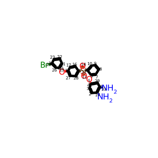 Nc1ccc(Oc2ccccc2S(=O)(=O)c2ccc(Oc3cccc(Br)c3)cc2)cc1N